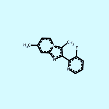 Cc1ccn2c(C)c(-c3ncccc3F)nc2c1